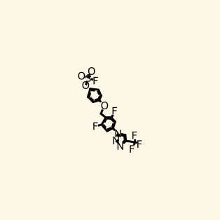 O=S(=O)(F)Oc1ccc(OCc2c(F)cc(-n3cc(C(F)(F)F)nn3)cc2F)cc1